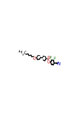 CCCCCCCO[C@H]1CC[C@H]([C@H]2CC[C@H](C(=O)Oc3ccc(C#N)c(F)c3F)CC2)CC1